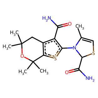 CC1=CSC(C(N)=O)N1c1sc2c(c1C(N)=O)CC(C)(C)OC2(C)C